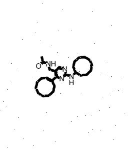 CC(=O)NCc1cnc(NC2CCCCCCCCC2)nc1/C1=C/CCCCCCCC1